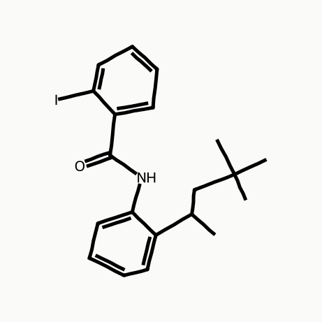 CC(CC(C)(C)C)c1ccccc1NC(=O)c1ccccc1I